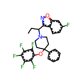 CCC(c1noc2cc(F)ccc12)N1CCC(Oc2c(F)c(F)c(F)c(F)c2F)(c2ccccc2)CC1